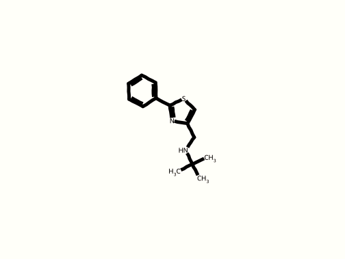 CC(C)(C)NCc1csc(-c2ccccc2)n1